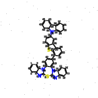 c1ccc2c(c1)nc1sc3nc4ccccc4n3c3cc(-c4cccc5c4sc4ccc(-n6c7ccccc7c7ccccc76)cc45)ccc3n12